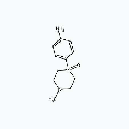 CN1CCP(=O)(c2ccc(N)cc2)CC1